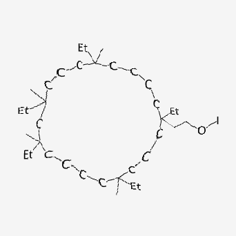 CCC1(C)CCCCC(CC)(CCOI)CCCC(C)(CC)CCCCC(C)(CC)CC(C)(CC)CCC1